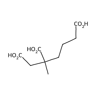 CC(CCCC(=O)O)(CC(=O)O)C(=O)O